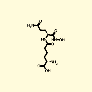 NC(=O)CC[C@H](NC(=O)CCC[C@H](N)C(=O)O)C(=O)NO